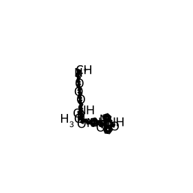 C#[N+]CCCOCCOCCOCCCNC(=O)CN(C)C(=O)CCN1CCN(CC(=O)N2c3ccccc3C(=O)Nc3cccnc32)CC1